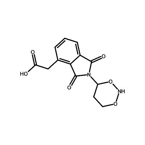 O=C(O)Cc1cccc2c1C(=O)N(C1CCONO1)C2=O